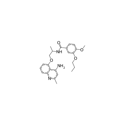 CCCOc1cc(C(=O)NC(C)COc2cccc3nc(C)cc(N)c23)ccc1OC